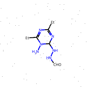 CCC1=NC(NNC=O)N(N)C(CC)=N1